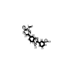 CCN1N=C(c2ccc3c(c2)nc(-c2cccc(OC)c2)n3C)CSC1=O